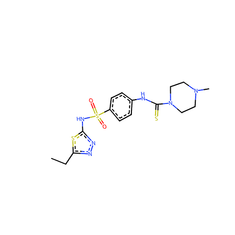 CCc1nnc(NS(=O)(=O)c2ccc(NC(=S)N3CCN(C)CC3)cc2)s1